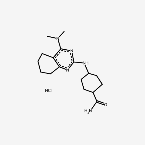 CN(C)c1nc(NC2CCC(C(N)=O)CC2)nc2c1CCCC2.Cl